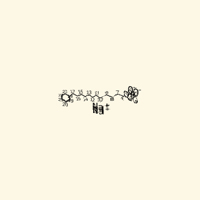 O=P([O-])([O-])OOCCCCCCCCCCCCc1ccccc1.[Na+].[Na+]